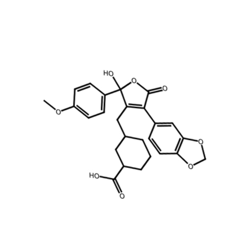 COc1ccc(C2(O)OC(=O)C(c3ccc4c(c3)OCO4)=C2CC2CCCC(C(=O)O)C2)cc1